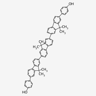 CC1(C)c2cc(-c3ccc(O)cc3)ccc2-c2ccc(-c3ccc4c(c3)C(C)(C)c3cc(-c5ccc6c(c5)C(C)(C)c5cc(-c7ccc(O)cc7)ccc5-6)ccc3-4)cc21